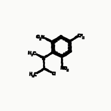 CC(Cl)N(C)c1c([N+](=O)[O-])cc(C(F)(F)F)cc1[N+](=O)[O-]